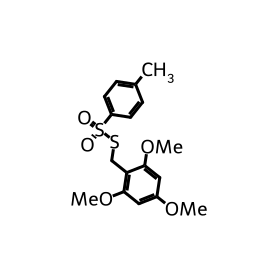 COc1cc(OC)c(CSS(=O)(=O)c2ccc(C)cc2)c(OC)c1